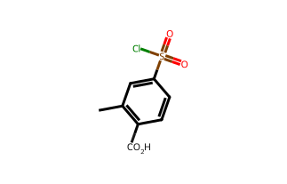 Cc1cc(S(=O)(=O)Cl)ccc1C(=O)O